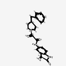 O=C1Nc2ccc(NC(=O)C(=O)N3CCC(Cc4ccccc4)CC3)cc2C1=O